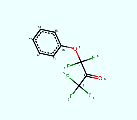 O=C(C(F)(F)F)C(F)(F)Oc1ccccc1